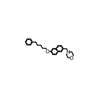 c1ccc(CCCCCOc2ccc3cc(CN4CCOCC4)ccc3c2)cc1